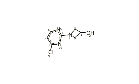 OC1CN(c2nccc(Cl)n2)C1